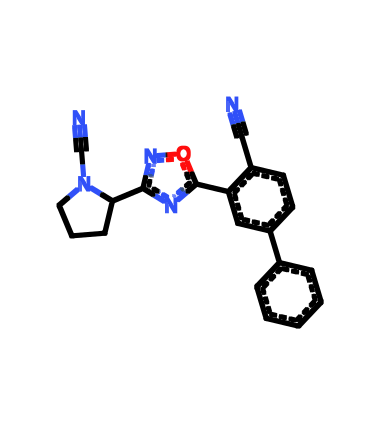 N#Cc1ccc(-c2ccccc2)cc1-c1nc(C2CCCN2C#N)no1